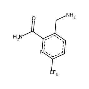 NCc1ccc(C(F)(F)F)nc1C(N)=O